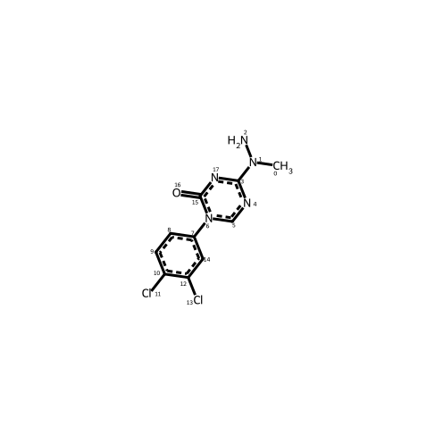 CN(N)c1ncn(-c2ccc(Cl)c(Cl)c2)c(=O)n1